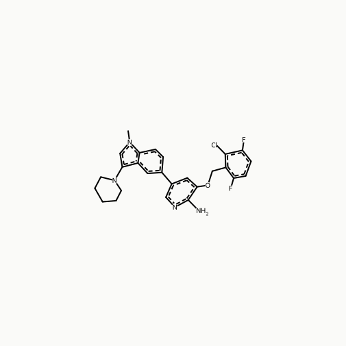 Cn1cc(N2CCCCC2)c2cc(-c3cnc(N)c(OCc4c(F)ccc(F)c4Cl)c3)ccc21